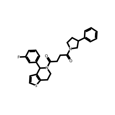 O=C(CCC(=O)N1CCc2sccc2C1c1cccc(F)c1)N1CCC(c2ccccc2)C1